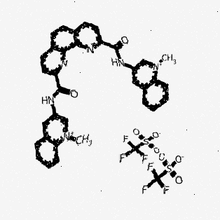 C[n+]1cc(NC(=O)c2ccc3ccc4ccc(C(=O)Nc5cc6ccccc6[n+](C)c5)nc4c3n2)cc2ccccc21.O=S(=O)([O-])C(F)(F)F.O=S(=O)([O-])C(F)(F)F